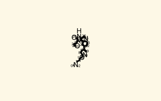 CN(C)CCCOc1ccc(-c2ccc3ncc4[nH]c(=O)n(C5CCO5)c4c3c2)cn1